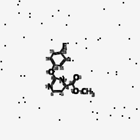 COC(=O)c1ccnc(Oc2ccc(F)cc2)n1